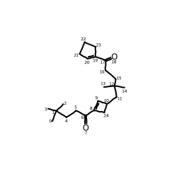 CC(C)(C)CCC(=O)C1=CC(CC(C)(C)CCC(=O)C2=CCCC2)C1